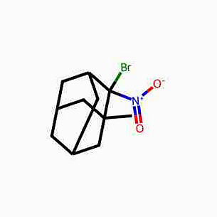 CC12CC3CC(CC(C3)C1(Br)[N+](=O)[O-])C2